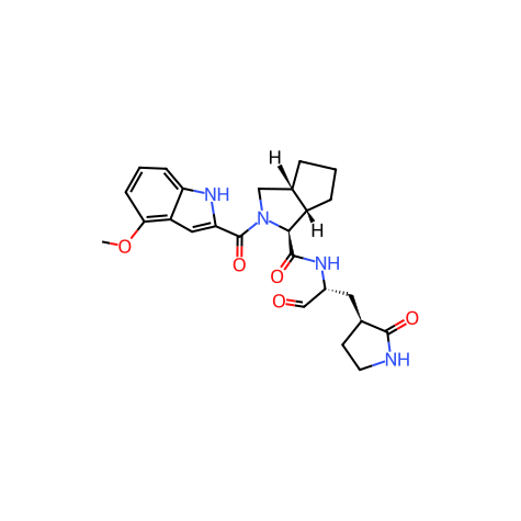 COc1cccc2[nH]c(C(=O)N3C[C@@H]4CCC[C@@H]4[C@H]3C(=O)N[C@@H](C=O)C[C@@H]3CCNC3=O)cc12